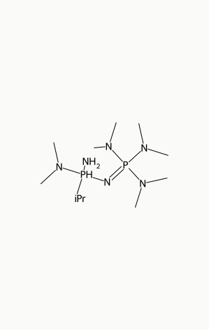 CC(C)[PH](N)(N=P(N(C)C)(N(C)C)N(C)C)N(C)C